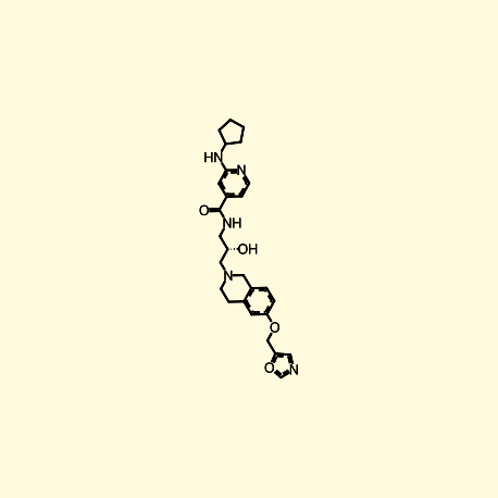 O=C(NC[C@H](O)CN1CCc2cc(OCc3cnco3)ccc2C1)c1ccnc(NC2CCCC2)c1